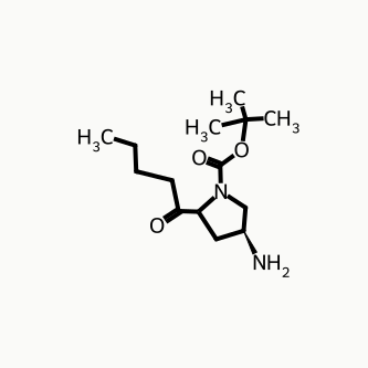 CCCCC(=O)C1C[C@H](N)CN1C(=O)OC(C)(C)C